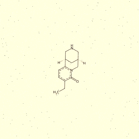 CCc1ccc2n(c1=O)C[C@@H]1CNC[C@H]2C1